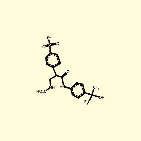 CCS(=O)(=O)c1ccc(C(CNC(=O)O)C(=O)Nc2ccc(C(O)(C(F)(F)F)C(F)(F)F)cc2)cc1